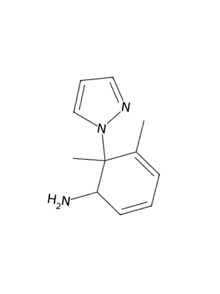 CC1=CC=CC(N)C1(C)n1cccn1